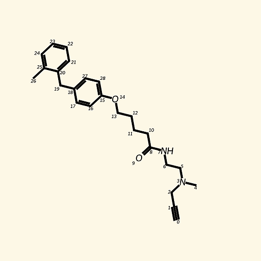 C#CCN(C)CCNC(=O)CCCCOc1ccc(Cc2ccccc2C)cc1